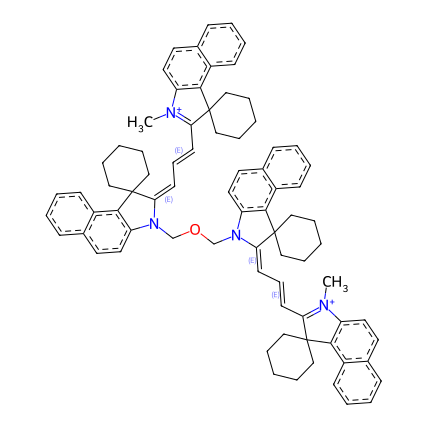 C[N+]1=C(/C=C/C=C2/N(COCN3/C(=C/C=C/C4=[N+](C)c5ccc6ccccc6c5C45CCCCC5)C4(CCCCC4)c4c3ccc3ccccc43)c3ccc4ccccc4c3C23CCCCC3)C2(CCCCC2)c2c1ccc1ccccc21